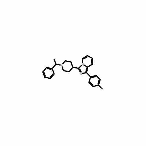 CC(c1ccccc1)N1CCC(c2nc(-c3ccc(F)cc3)c3ccccn23)CC1